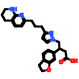 O=C(O)CC(Cn1ccc(CCCc2ccc3c(n2)NCCC3)n1)c1ccc2c(c1)OCC2